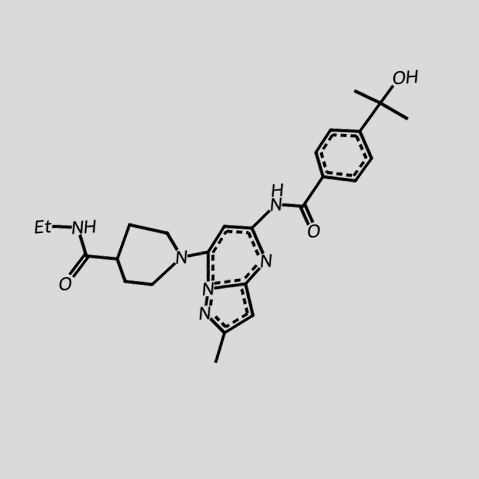 CCNC(=O)C1CCN(c2cc(NC(=O)c3ccc(C(C)(C)O)cc3)nc3cc(C)nn23)CC1